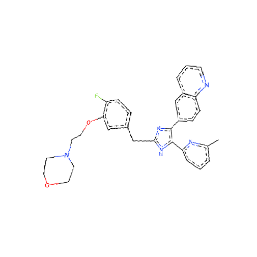 Cc1cccc(-c2[nH]c(Cc3ccc(F)c(OCCN4CCOCC4)c3)nc2-c2ccc3ncccc3c2)n1